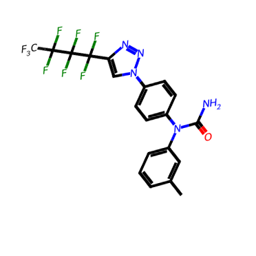 Cc1cccc(N(C(N)=O)c2ccc(-n3cc(C(F)(F)C(F)(F)C(F)(F)C(F)(F)F)nn3)cc2)c1